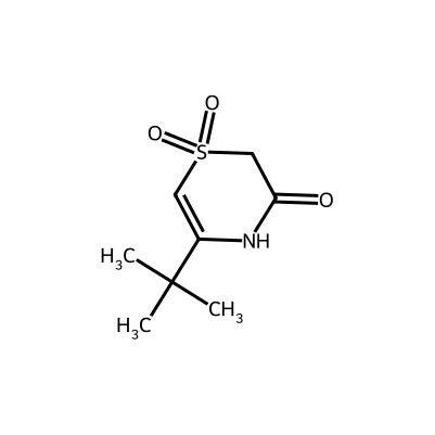 CC(C)(C)C1=CS(=O)(=O)CC(=O)N1